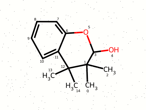 CC1(C)[C](O)Oc2ccccc2C1(C)C